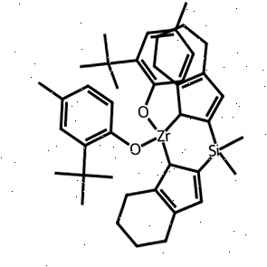 Cc1ccc([O][Zr]2([O]c3ccc(C)cc3C(C)(C)C)[CH]3C(=CC4=C3CCCC4)[Si](C)(C)C3=CC4=C(CCCC4)[CH]32)c(C(C)(C)C)c1